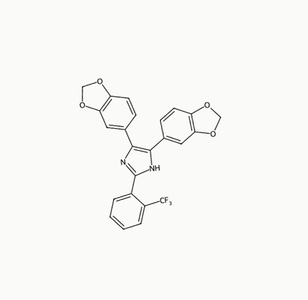 FC(F)(F)c1ccccc1-c1nc(-c2ccc3c(c2)OCO3)c(-c2ccc3c(c2)OCO3)[nH]1